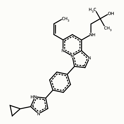 C/C=C\c1cc(NCC(C)(C)O)c2ncc(-c3ccc(-c4cnc(C5CC5)[nH]4)cc3)n2n1